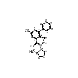 O=c1c2cc(Cl)nc(-c3cccnc3)c2ncn1[C@H]1COC[C@H]1O